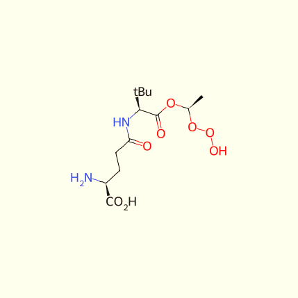 C[C@@H](OOO)OC(=O)[C@@H](NC(=O)CC[C@H](N)C(=O)O)C(C)(C)C